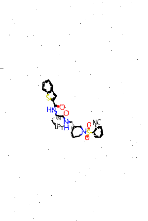 CC(C)C[C@H](NC(=O)c1cc2ccccc2s1)C(=O)NC[C@H]1CCCN(S(=O)(=O)c2ccccc2C#N)C1